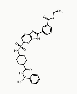 CCOC(=O)c1cccc(-c2nc3ccc(S(=O)(=O)NC4CCC(C(=O)N[C@H](C)c5ccccc5)CC4)cc3[nH]2)c1